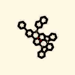 c1ccc(-c2ccc(-c3ccc(-n4c5ccccc5c5ccccc54)cc3)c(N(c3ccc4ccccc4c3)c3cnc4oc5ccccc5c4c3)c2)cc1